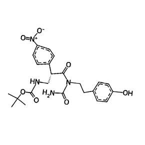 CC(C)(C)OC(=O)NC[C@@H](C(=O)N(CCc1ccc(O)cc1)C(N)=O)c1ccc([N+](=O)[O-])cc1